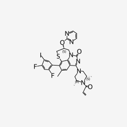 C=CC(=O)N1[C@H](C)CN(c2nc(=O)n3c4c(c(-c5cc(I)c(F)cc5F)c(C)cc24)SC[C@@H](Oc2ncccn2)C3)C[C@@H]1C